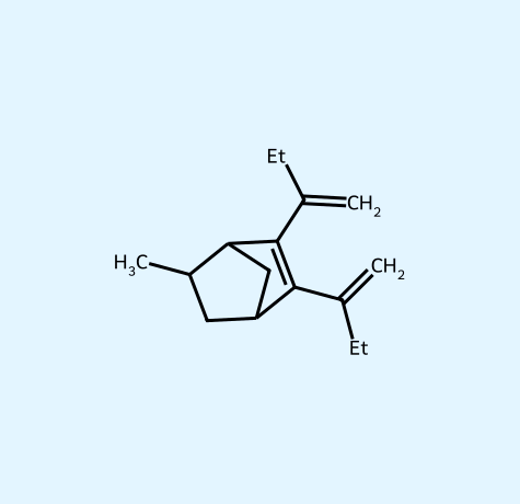 C=C(CC)C1=C(C(=C)CC)C2CC1CC2C